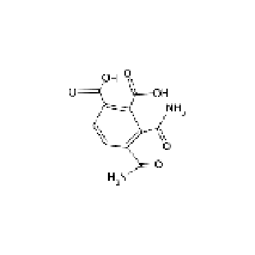 NC(=O)c1ccc(C(=O)O)c(C(=O)O)c1C(N)=O